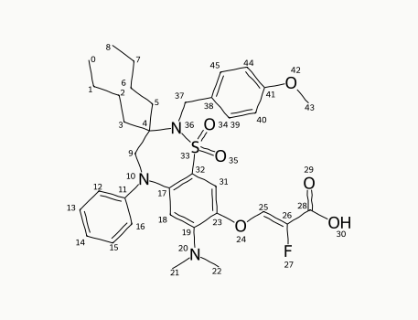 CCCCC1(CCCC)CN(c2ccccc2)c2cc(N(C)C)c(O/C=C(\F)C(=O)O)cc2S(=O)(=O)N1Cc1ccc(OC)cc1